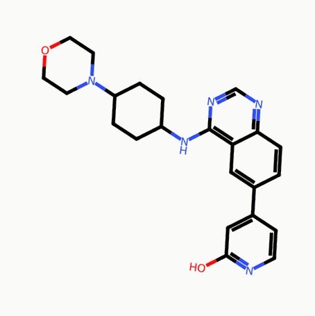 Oc1cc(-c2ccc3ncnc(NC4CCC(N5CCOCC5)CC4)c3c2)ccn1